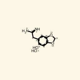 Cl.Cl.N=C(N)Cc1ccc2c(c1)OCO2